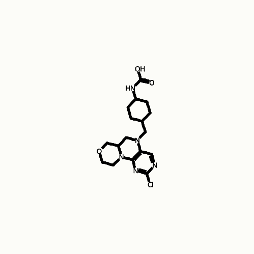 O=C(O)NC1CCC(CN2CC3COCCN3c3nc(Cl)ncc32)CC1